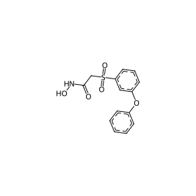 O=C(CS(=O)(=O)c1cccc(Oc2ccccc2)c1)NO